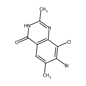 Cc1nc2c(Cl)c(Br)c(C)cc2c(=O)[nH]1